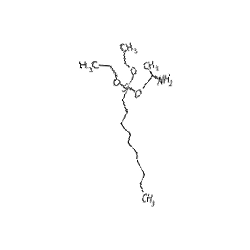 CCCCCCCCCC[Si](OCC)(OCC)OC(C)N